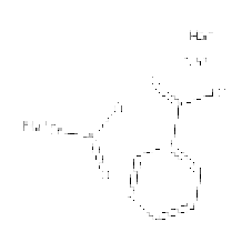 O=C([O-])c1ccccc1.O=S([O-])[O-].[Na+].[Na+].[Na+]